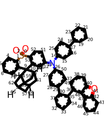 O=S1(=O)c2ccccc2C2(c3cc(N(c4ccc(-c5ccccc5)cc4)c4ccc(-c5ccccc5-c5cccc6oc7ccccc7c56)cc4)ccc31)[C@H]1C[C@H]3C[C@H](C[C@H]2C3)C1